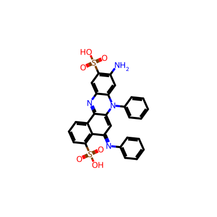 Nc1cc2c(cc1S(=O)(=O)O)nc1c3cccc(S(=O)(=O)O)c3/c(=N/c3ccccc3)cc-1n2-c1ccccc1